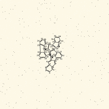 c1ccc2cc3c(cc2c1)c1cccc2c1n3B1c3cccc4c5cccc6c7c8c(sc9ccccc98)c-2c1c7n(c34)c56